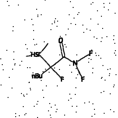 CCCCC(F)(C(=O)N(F)F)[SiH](C)C